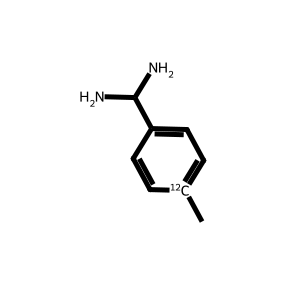 C[12c]1ccc(C(N)N)cc1